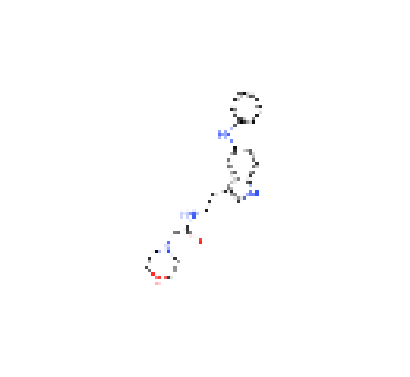 O=C(CN1CCOCC1)NCCc1c[nH]c2ccc(Nc3ccccc3)cc12